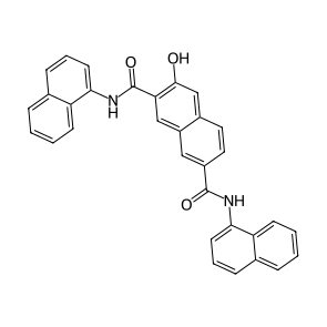 O=C(Nc1cccc2ccccc12)c1ccc2cc(O)c(C(=O)Nc3cccc4ccccc34)cc2c1